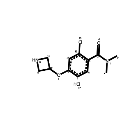 CN(C)C(=O)c1ccc(OC2CNC2)cc1Cl.Cl